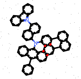 c1ccc(-c2c3ccccc3c(N(c3ccc(-c4cccc5cccc(-c6ccccc6)c45)cc3)c3cccc4c(-n5c6ccccc6c6ccccc65)cccc34)c3ccccc23)cc1